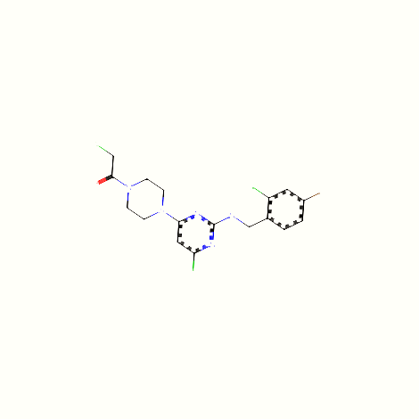 O=C(CCl)N1CCN(c2cc(Cl)nc(NCc3ccc(Br)cc3Cl)n2)CC1